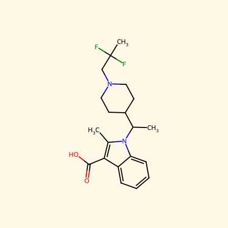 Cc1c(C(=O)O)c2ccccc2n1C(C)C1CCN(CC(C)(F)F)CC1